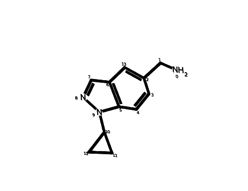 NCc1ccc2c(cnn2C2CC2)c1